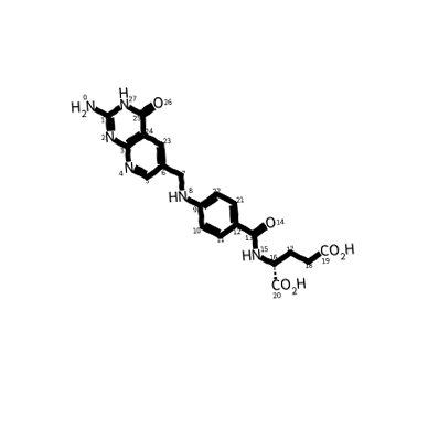 Nc1nc2ncc(CNc3ccc(C(=O)N[C@H](CCC(=O)O)C(=O)O)cc3)cc2c(=O)[nH]1